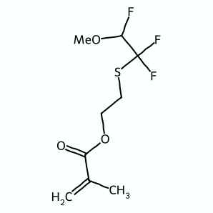 C=C(C)C(=O)OCCSC(F)(F)C(F)OC